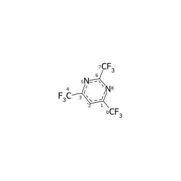 FC(F)(F)c1[c]c(C(F)(F)F)nc(C(F)(F)F)n1